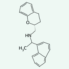 CC(NC[C@H]1CCc2ccccc2O1)c1cccc2ccccc12